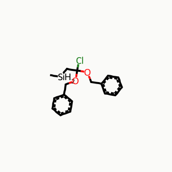 C[SiH2]CC(Cl)(OCc1ccccc1)OCc1ccccc1